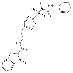 CN(C(=O)NC1C=CCCC1)S(=O)(=O)c1ccc(CCNC(=O)N2Cc3ccccc3C2=O)cc1